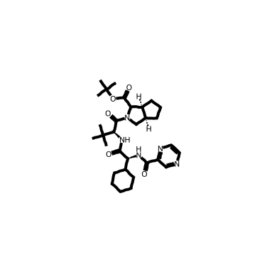 CC(C)(C)OC(=O)C1[C@H]2CCC[C@H]2CN1C(=O)[C@@H](NC(=O)[C@@H](NC(=O)c1cnccn1)C1CCCCC1)C(C)(C)C